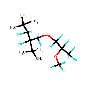 CC(C)(C)C(F)(F)C(F)(C(C)(C)C)C(F)(F)OC(F)(F)C(F)(OC(F)(F)F)C(F)(F)F